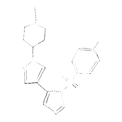 Cc1ccc(S(=O)(=O)n2cccc2-c2cnn(C3CCN(C)CC3)c2)cc1